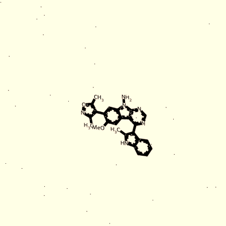 COc1cc2c3c(-c4c(C)[nH]c5ccccc45)ncnc3n(N)c2cc1-c1c(C)noc1C